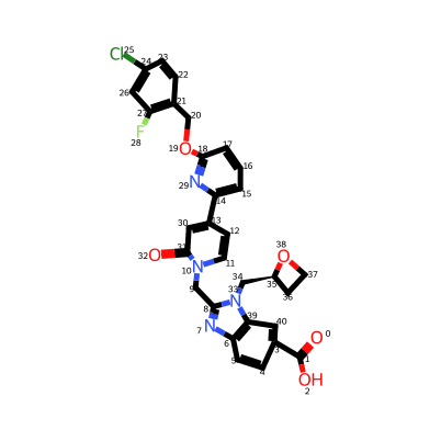 O=C(O)c1ccc2nc(Cn3ccc(-c4cccc(OCc5ccc(Cl)cc5F)n4)cc3=O)n(C[C@@H]3CCO3)c2c1